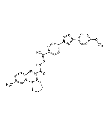 Cc1ccc(C(C)C)c(N2CCCS/C2=N\C(=O)N/C=C(\C#N)c2ccc(-c3ncn(-c4ccc(OC(F)(F)F)cc4)n3)cc2)c1